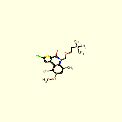 COc1cc(C)c2c(c1Br)c1cc(Cl)sc1c(=O)n2COCC[Si](C)(C)C